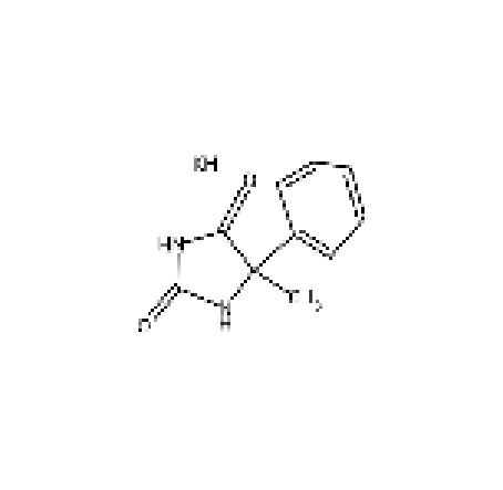 CC1(c2ccccc2)NC(=O)NC1=O.[KH]